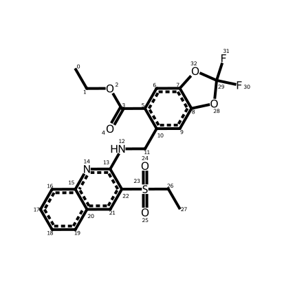 CCOC(=O)c1cc2c(cc1CNc1nc3ccccc3cc1S(=O)(=O)CC)OC(F)(F)O2